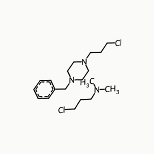 CN(C)CCCCl.ClCCCN1CCN(Cc2ccccc2)CC1